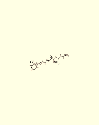 NCCCC[C@H](N)C(=O)OCC=COCc1ccccc1Cl